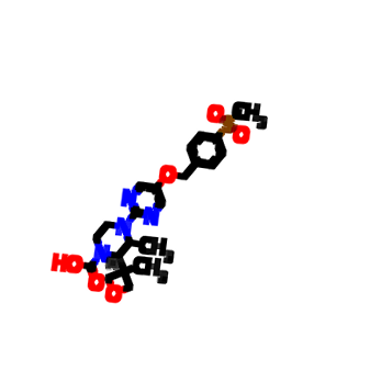 CC1[C@@H](C2(C)COC2)N(C(=O)O)CCN1c1ncc(OCc2ccc(S(C)(=O)=O)cc2)cn1